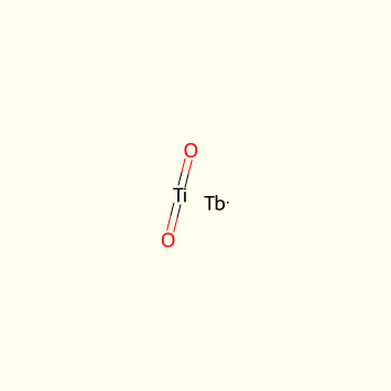 [O]=[Ti]=[O].[Tb]